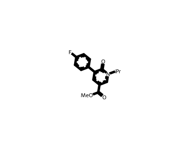 COC(=O)c1cc(-c2ccc(F)cc2)c(=O)n(C(C)C)c1